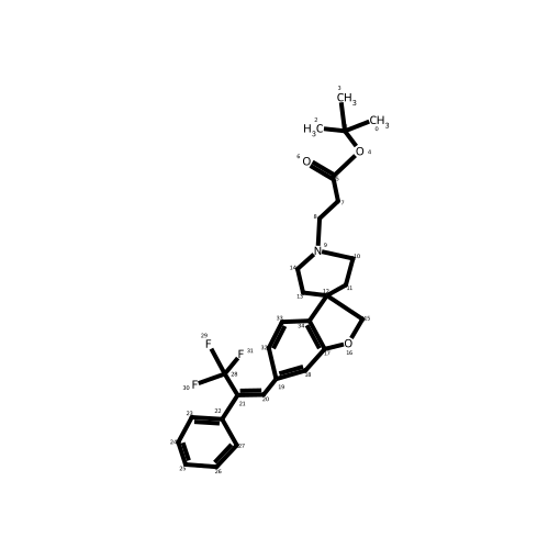 CC(C)(C)OC(=O)CCN1CCC2(CC1)COc1cc(C=C(c3ccccc3)C(F)(F)F)ccc12